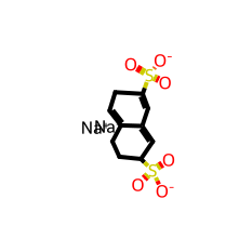 O=S(=O)([O-])C1=CC2=CC(S(=O)(=O)[O-])CCC2=CC1.[Na+].[Na+]